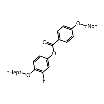 CCCCCCCCCOc1ccc(C(=O)Oc2ccc(OCCCCCCC)c(F)c2)cc1